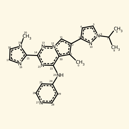 Cc1c(-c2ccn(C(C)C)n2)cn2nc(-c3nccn3C)nc(Nc3ccncc3)c12